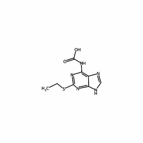 CCSc1nc(NC(=O)O)c2nc[nH]c2n1